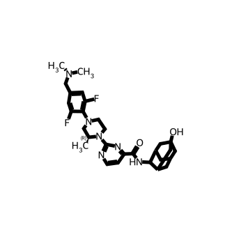 C[C@@H]1CN(c2c(F)cc(CN(C)C)cc2F)CCN1c1nccc(C(=O)NC2C3CC4CC2CC(O)(C4)C3)n1